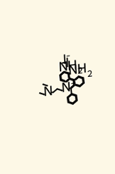 CCN(CC)CCC[n+]1c(-c2ccccc2)c2ccccc2c2c(N)c(N)ccc21.CI.[I-]